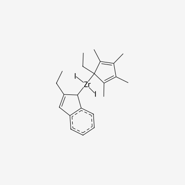 CCC1=Cc2ccccc2[CH]1[Zr]([I])([I])[C]1(CC)C(C)=C(C)C(C)=C1C